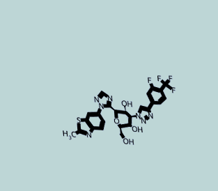 Cc1nc2ccc(-n3ncnc3[C@@H]3O[C@H](CO)[C@H](O)[C@H](n4cc(-c5ccc(C(F)(F)F)c(F)c5)nn4)[C@H]3O)cc2s1